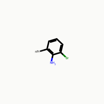 CCCc1cccc(Br)c1N